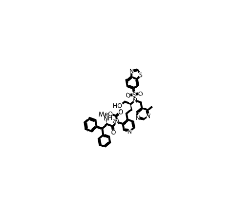 COC(=O)N(C(=O)[C@@H](N)C(c1ccccc1)c1ccccc1)c1cnccc1CC[C@@H](CO)N(Cc1cncnc1C)S(=O)(=O)c1ccc2ncsc2c1